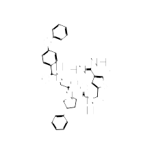 C[C@@H](NC(=O)[C@@H]1C[C@@H](c2ccccc2)CN1C(=O)CNC(=O)c1ccc(Oc2ccccc2)cc1)c1cc(C(=N)N)cs1